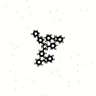 c1ccc(-c2ccc(-c3nc(-c4cccc(-n5c(-c6ccccc6)nc6ccccc65)c4)nc(-c4cccc(-n5c(-c6ccccc6)nc6ccccc65)c4)n3)cc2)cc1